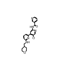 O=C(Nc1cc(-c2cccc(NCC3CCOCC3)n2)c(Cl)cn1)c1cccnc1